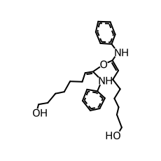 OCCCCCCC=C(Nc1ccccc1)OC(=CCCCCCCO)Nc1ccccc1